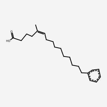 CC(=CCCCCCCCCCc1ccccc1)CCCC(=O)O